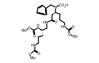 CC(C)(C)OC(=O)NCCC[C@@H](CNC(=O)C[C@H](CCCNC(=O)OC(C)(C)C)N(Cc1ccccc1)C(=O)O)NC(=O)OC(C)(C)C